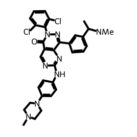 CNC(C)c1cccc(-c2nn(-c3c(Cl)cccc3Cl)c(=O)c3cnc(Nc4ccc(N5CCN(C)CC5)cc4)nc23)c1